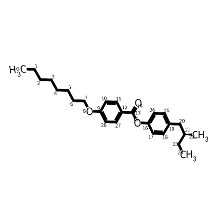 CCCCCCCCOc1ccc(C(=O)Oc2ccc(C[C@@H](C)CC)cc2)cc1